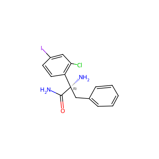 NC(=O)[C@](N)(Cc1ccccc1)c1ccc(I)cc1Cl